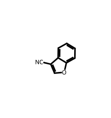 N#Cc1coc2ccccc12